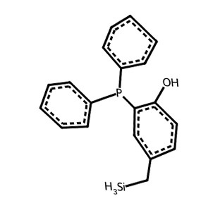 Oc1ccc(C[SiH3])cc1P(c1ccccc1)c1ccccc1